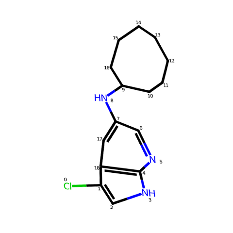 Clc1c[nH]c2ncc(NC3CCCCCCC3)cc12